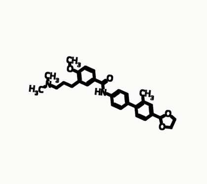 COc1ccc(C(=O)Nc2ccc(-c3ccc(C4OCCO4)cc3C)cc2)cc1CCCN(C)C